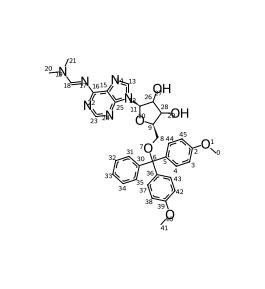 COc1ccc(C(OC[C@H]2O[C@@H](n3cnc4c(N=CN(C)C)ncnc43)C(O)C2O)(c2ccccc2)c2ccc(OC)cc2)cc1